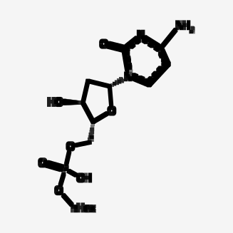 CCCCCCOP(=O)(O)OC[C@H]1O[C@@H](n2ccc(N)nc2=O)C[C@@H]1O